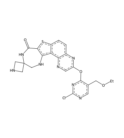 CCOCc1cnc(Cl)nc1Oc1cnc2c(ccc3sc4c(c32)NCC2(CNC2)NC4=O)n1